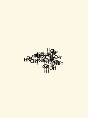 CC(C)Oc1ccc(C(=O)N[C@H](CCO)Cc2ccc(NC(=O)CC(C)(C)C)cc2)cc1Cl.CC(C)Oc1ccc(C(=O)N[C@H](CCO)Cc2ccc(NC(=O)Cc3ccccc3)cc2)cc1Cl.CC(C)Oc1ccc(C(=O)N[C@H](CCO)Cc2ccc(NC(=O)Nc3ccccc3)cc2)cc1Cl.Cc1c[nH]c(=O)n2cc(-c3ccc(C[C@@H](CCO)NC(=O)c4ccc(OC(C)C)c(C#N)c4)cc3)nc12